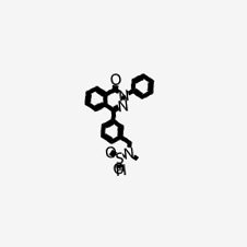 CN(Cc1cccc(-c2nn(-c3ccccc3)c(=O)c3ccccc23)c1)[SH](=O)=O